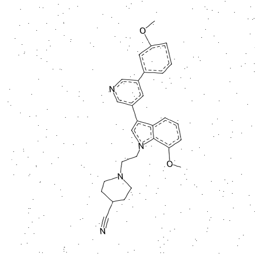 COc1cccc(-c2cncc(-c3cn(CCN4CCC(C#N)CC4)c4c(OC)cccc34)c2)c1